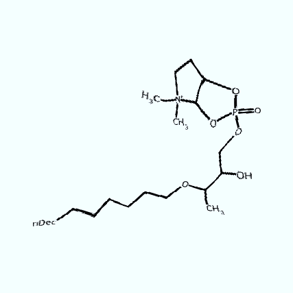 CCCCCCCCCCCCCCCCOC(C)C(O)COP1(=O)OC2CC[N+](C)(C)C2O1